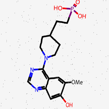 COc1cc2c(N3CCC(CCP(=O)(O)O)CC3)ncnc2cc1O